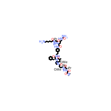 CCC(C)C(C(CC(=O)N1CCCC1C(OC)C(C)C(=O)N[C@@H](Cc1ccccc1)C(=O)NCCc1ccc(NC(=O)C(CCCNC(N)=O)NC(=O)[C@H](NC(=O)CCCCCN)C(C)C)cc1)OC)N(C)C(=O)[C@@H](NC(=O)C(=O)N(C)C)C(C)C